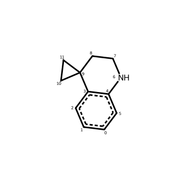 c1ccc2c(c1)NCCC21CC1